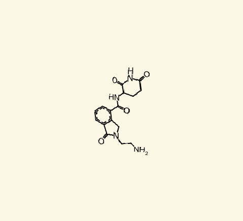 NCCN1Cc2c(C(=O)NC3CCC(=O)NC3=O)cccc2C1=O